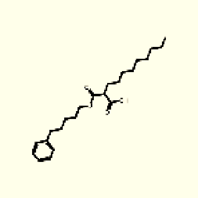 CCCCCCCCCC(C(=O)O)C(=O)OCCCCCc1ccccc1